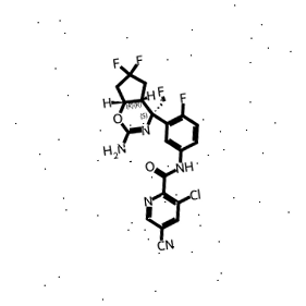 N#Cc1cnc(C(=O)Nc2ccc(F)c([C@@]3(CF)N=C(N)O[C@@H]4CC(F)(F)C[C@@H]43)c2)c(Cl)c1